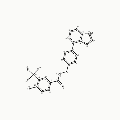 O=C(NCc1ccc(-c2ncnc3[nH]ccc23)cc1)c1cc(C(F)(F)F)c(Cl)cn1